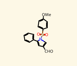 COc1ccc(S(=O)(=O)n2cc(C=O)cc2-c2ccccc2)cc1